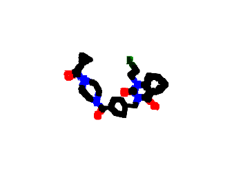 O=C(C1CC1)N1CCN(C(=O)[C@H]2CC[C@H](Cn3c(=O)c4ccccc4n(CCF)c3=O)CC2)CC1